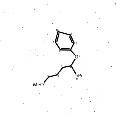 CCCC(CCCOC)Oc1c[c]ccc1